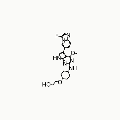 COc1nc(N[C@H]2CC[C@@H](OCCO)CC2)nc2[nH]cc(-c3ccc4ncc(F)n4c3)c12